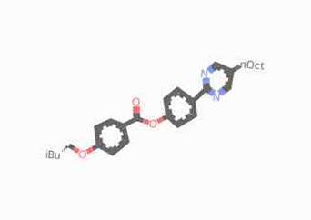 CCCCCCCCc1cnc(-c2ccc(OC(=O)c3ccc(OC[C@@H](C)CC)cc3)cc2)nc1